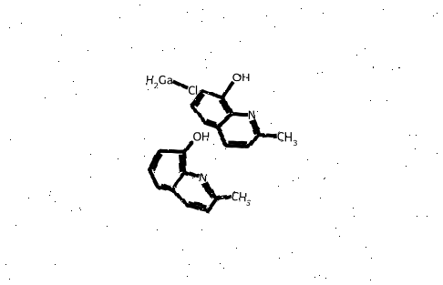 Cc1ccc2cccc(O)c2n1.Cc1ccc2cccc(O)c2n1.[Cl][GaH2]